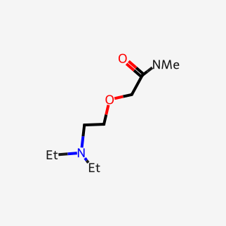 CCN(CC)CCOCC(=O)NC